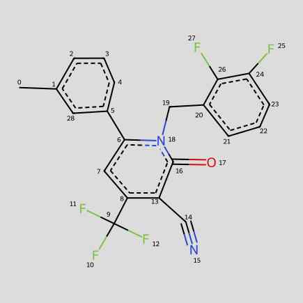 Cc1cccc(-c2cc(C(F)(F)F)c(C#N)c(=O)n2Cc2cccc(F)c2F)c1